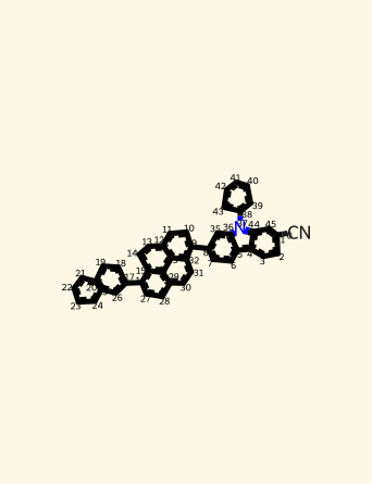 N#Cc1ccc2c3ccc(-c4ccc5ccc6c(-c7ccc8ccccc8c7)ccc7ccc4c5c76)cc3n(-c3ccccc3)c2c1